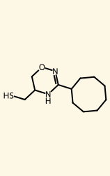 SCC1CON=C(C2CCCCCCC2)N1